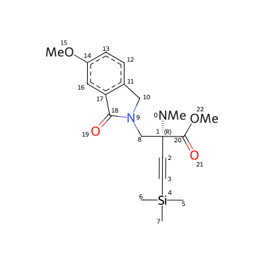 CN[C@](C#C[Si](C)(C)C)(CN1Cc2ccc(OC)cc2C1=O)C(=O)OC